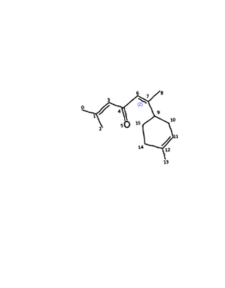 CC(C)=CC(=O)/C=C(/C)C1CC=C(C)CC1